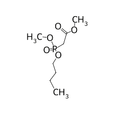 CCCCOP(=O)(CC(=O)OC)OC